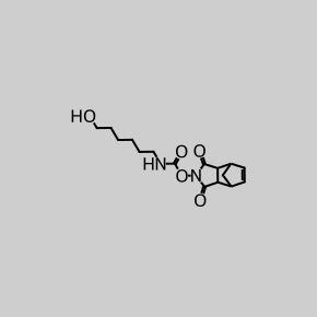 O=C(NCCCCCCO)ON1C(=O)C2C3C=CC(C3)C2C1=O